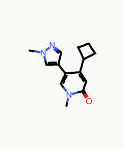 Cn1cc(-c2cn(C)c(=O)cc2C2CCC2)cn1